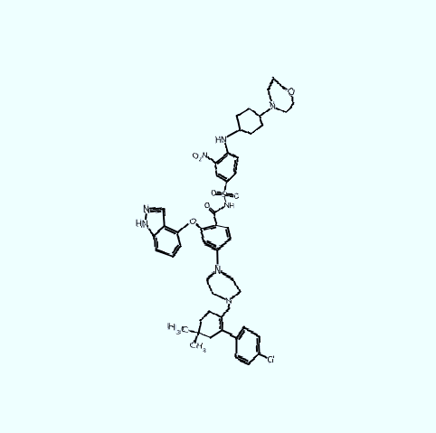 CC1(C)CCC(CN2CCN(c3ccc(C(=O)NS(=O)(=O)c4ccc(NC5CCC(N6CCOCC6)CC5)c([N+](=O)[O-])c4)c(Oc4cccc5[nH]ncc45)c3)CC2)=C(c2ccc(Cl)cc2)C1